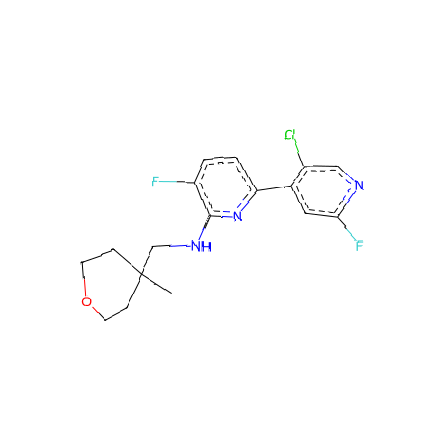 CC1(CNc2nc(-c3cc(F)ncc3Cl)ccc2F)CCOCC1